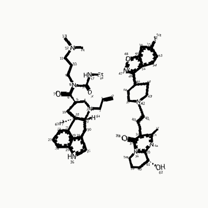 C=CCN1C[C@H](C(=O)N(CCCN(C)C)C(=O)NCC)C[C@@H]2c3cccc4[nH]cc(c34)C[C@H]21.Cc1nc2n(c(=O)c1CCN1CCC(c3noc4cc(F)ccc34)CC1)CCC[C@H]2O